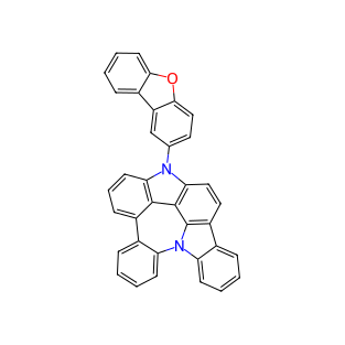 c1ccc2c(c1)oc1ccc(-n3c4cccc5c6ccccc6n6c7ccccc7c7ccc3c(c54)c76)cc12